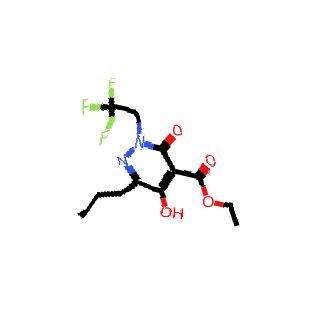 CCCc1nn(CC(F)(F)F)c(=O)c(C(=O)OCC)c1O